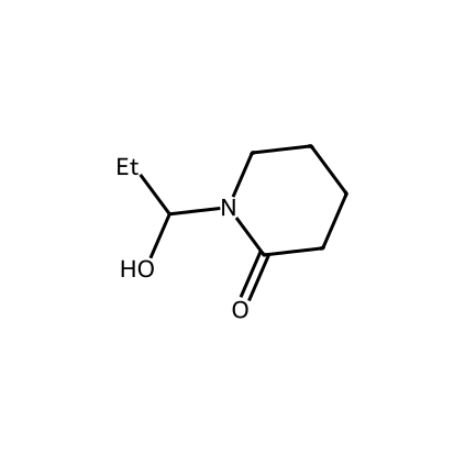 CCC(O)N1CCCCC1=O